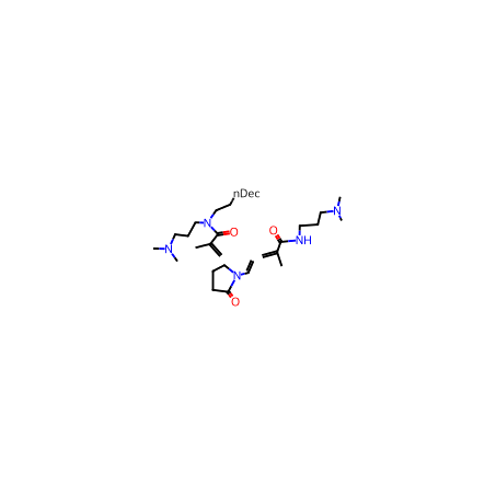 C=C(C)C(=O)N(CCCCCCCCCCCC)CCCN(C)C.C=C(C)C(=O)NCCCN(C)C.C=CN1CCCC1=O